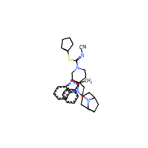 Cc1nc2ccccc2n1C1CC2CCC(C1)N2CCC1(c2ccccc2)CCN(/C(=N/C#N)SC2CCCC2)CC1